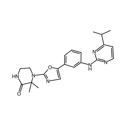 CC(C)c1ccnc(Nc2cccc(-c3cnc(N4CCNC(=O)C4(C)C)o3)c2)n1